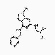 CC(C)n1cnc2c(NCc3cccnc3)nc(NCC(O)C(F)(F)F)nc21